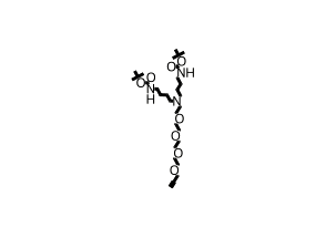 C#CCOCCOCCOCCOCCN(CCCCNC(=O)OC(C)(C)C)CCCCNC(=O)OC(C)(C)C